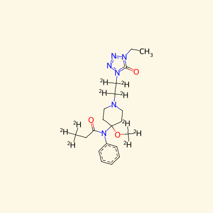 [2H]C([2H])([2H])CC(=O)N(c1ccccc1)C1(OC([2H])([2H])[2H])CCN(C([2H])([2H])C([2H])([2H])n2nnn(CC)c2=O)CC1